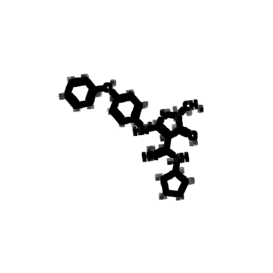 Cn1sc(Nc2ccc(Oc3ccccc3)cc2)c(C(=N)NC2CCCC2)c1=O